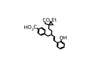 CCOC(=O)CC1(CCC(C=Cc2ccccc2O)Cc2ccc(C(=O)O)cc2)CC1